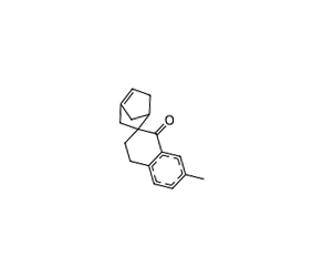 Cc1ccc2c(c1)C(=O)C1(CC2)CC2=CCC1C2